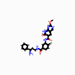 COc1ncc2cc(C(=O)Nc3cc(C(=O)NCCC(N)c4ccccc4)ccc3Cl)c(=O)[nH]c2n1